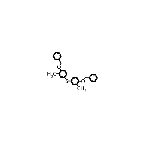 Cc1cc(Sc2ccc(OCc3ccccc3)c(C)c2)ccc1OCc1ccccc1